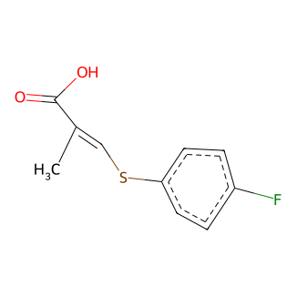 C/C(=C\Sc1ccc(F)cc1)C(=O)O